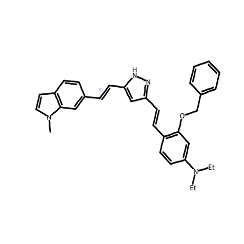 CCN(CC)c1ccc(C=Cc2cc(/C=C/c3ccc4ccn(C)c4c3)[nH]n2)c(OCc2ccccc2)c1